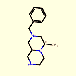 C[C@@H]1CN(Cc2ccccc2)CC2CNCCN21